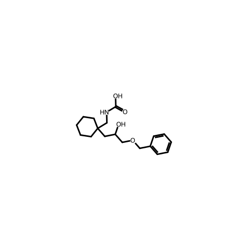 O=C(O)NCC1(CC(O)COCc2ccccc2)CCCCC1